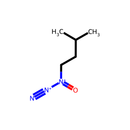 CC(C)CC[N+](=O)[N+]#N